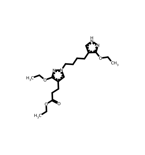 CCOC(=O)CCc1cn(CCCCc2c[nH]nc2OCC)nc1OCC